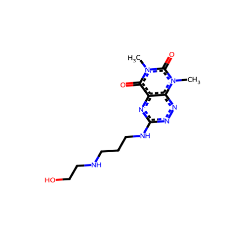 Cn1c(=O)c2nc(NCCCNCCO)nnc2n(C)c1=O